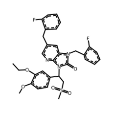 CCOc1cc(C(CS(C)(=O)=O)n2c(=O)n(Cc3ccccc3F)c3cc(Cc4ccccc4F)cnc32)ccc1OC